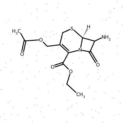 CCOC(=O)C1=C(COC(C)=O)CS[C@H]2C(N)C(=O)N12